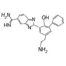 N=C(N)c1ccc2c(c1)=NC(c1cc(CCN)cc(-c3ccccc3)c1O)N=2